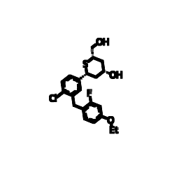 CCOc1ccc(Cc2cc([C@H]3C[C@@H](O)C[C@@H](CO)S3)ccc2Cl)c(F)c1